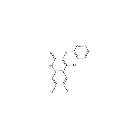 O=c1[nH]c2cc(Cl)c(I)cc2c(O)c1Sc1ccccc1